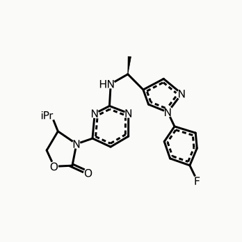 CC(C)C1COC(=O)N1c1ccnc(N[C@@H](C)c2cnn(-c3ccc(F)cc3)c2)n1